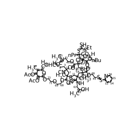 [C-]#[N+]C(C)(CCOC=O)CC(C)(BCC(C)(CC(C)(BCC(C)(CC(C)(CC(CCC)(SC(S)SCC)C(=O)O)C(=O)OCCCC)C(=O)OCCN(C)C)C(=O)OCCSSc1ccccn1)C(=O)NCC(C)O)C(=O)OCCOCCO[C@@H]1O[C@H](C)[C@H](C)[C@H](OC(C)=O)[C@H]1OC(C)=O